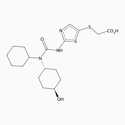 O=C(O)CSc1cnc(NC(=O)N(C2CCCCC2)[C@H]2CC[C@H](O)CC2)s1